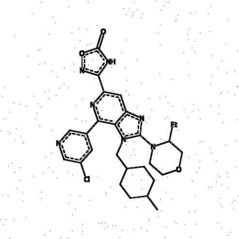 CCC1COCCN1c1nc2cc(-c3noc(=O)[nH]3)nc(-c3cncc(Cl)c3)c2n1CC1CCC(C)CC1